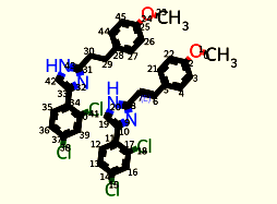 COc1ccc(/C=C/c2nc(-c3ccc(Cl)cc3Cl)c[nH]2)cc1.COc1ccc(CCc2nc(-c3ccc(Cl)cc3Cl)c[nH]2)cc1